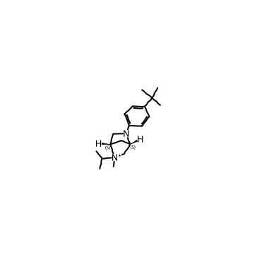 CC(C)[N+]1(C)C[C@@H]2C[C@H]1CN2c1ccc(C(C)(C)C)cc1